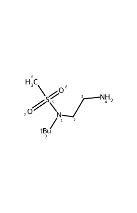 CC(C)(C)N(CCN)S(C)(=O)=O